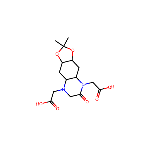 CC1(C)OC2CC3C(CC2O1)N(CC(=O)O)C(=O)CN3CC(=O)O